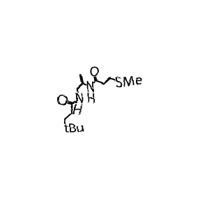 C=C(CNC(=O)CCC(C)(C)C)NC(=O)CCSC